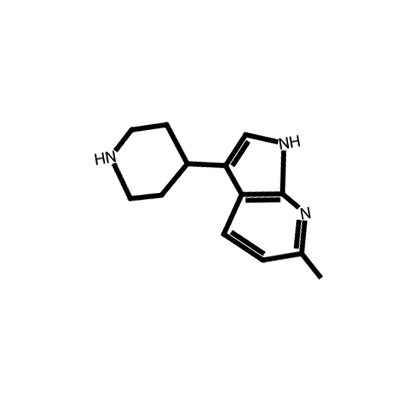 Cc1ccc2c(C3CCNCC3)c[nH]c2n1